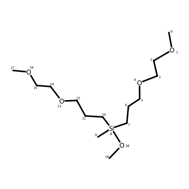 COCCOCCC[Si](C)(CCCOCCOC)OC